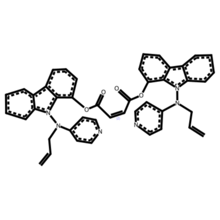 C=CCN(c1ccncc1)n1c2ccccc2c2cccc(OC(=O)/C=C\C(=O)Oc3cccc4c5ccccc5n(N(CC=C)c5ccncc5)c34)c21